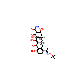 C/C(=N\OC(C)(C)C)c1ccc(O)c2c1C[C@H]1C[C@H]3CC(O)=C(C(N)=O)C(=O)[C@@]3(O)C(O)=C1C2=O